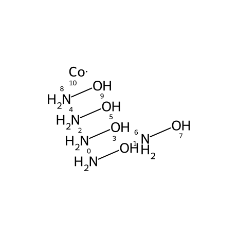 NO.NO.NO.NO.NO.[Co]